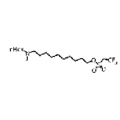 CCCCCCN(C)CCCCCCCCCCOS(=O)(=O)CC(F)(F)F